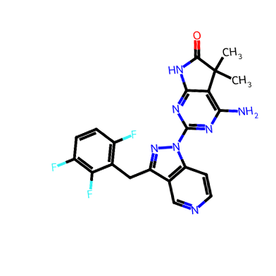 CC1(C)C(=O)Nc2nc(-n3nc(Cc4c(F)ccc(F)c4F)c4cnccc43)nc(N)c21